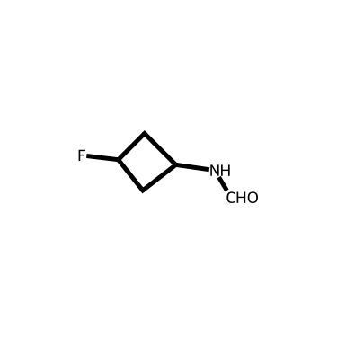 O=CNC1CC(F)C1